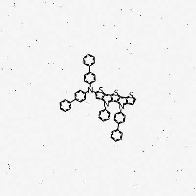 c1ccc(-c2ccc(N(c3ccc(-c4ccccc4)cc3)c3cc4c(s3)c3sc5c6sccc6n(-c6ccc(-c7ccccc7)cc6)c5c3n4-c3ccccc3)cc2)cc1